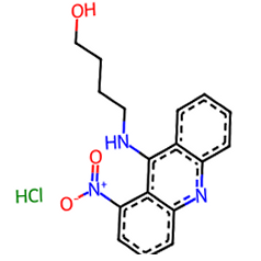 Cl.O=[N+]([O-])c1cccc2nc3ccccc3c(NCCCCO)c12